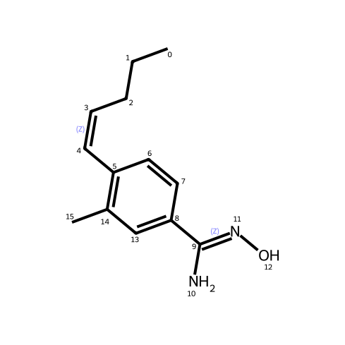 CCC/C=C\c1ccc(/C(N)=N/O)cc1C